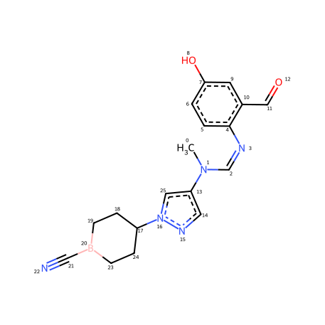 CN(/C=N\c1ccc(O)cc1C=O)c1cnn(C2CCB(C#N)CC2)c1